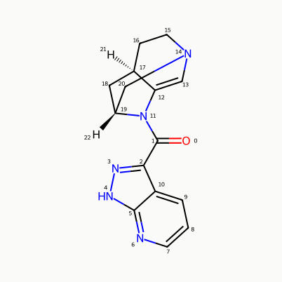 O=C(c1n[nH]c2ncccc12)N1C2=CN3CC[C@@H]2C[C@@H]1C3